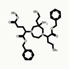 CC(C)(C)CCC(C(=O)OCc1ccccc1)N1CCN(C(CCC(=O)OC(C)(C)C)C(=O)OCc2ccccc2)CC(N)(CCC(C)(C)C)C1